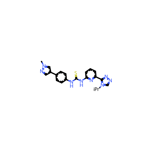 CC(C)n1cnnc1-c1cccc(NC(=S)Nc2ccc(-c3cnn(C)c3)cc2)n1